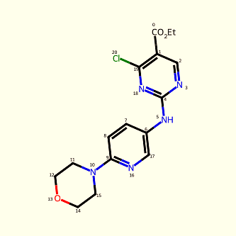 CCOC(=O)c1cnc(Nc2ccc(N3CCOCC3)nc2)nc1Cl